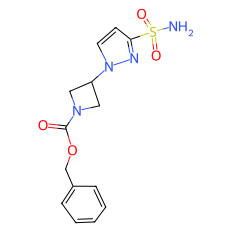 NS(=O)(=O)c1ccn(C2CN(C(=O)OCc3ccccc3)C2)n1